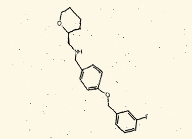 Fc1cccc(COc2ccc(CNC[C@@H]3CCCCO3)cc2)c1